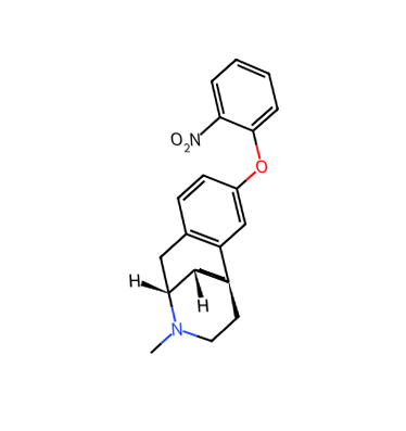 CN1CC[C@]23CCCC[C@H]2[C@H]1Cc1ccc(Oc2ccccc2[N+](=O)[O-])cc13